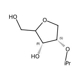 CC(C)O[C@H]1COC(CO)[C@H]1O